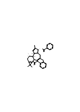 CC1=C[C@@H]2[C@](O)(CC(CO)=CC3[C@H]4C(C)(C)[C@]4(OC(=O)Cc4ccccc4)C[C@@H](C)[C@@]32O)[C@@H]1OC(=O)c1ccccc1